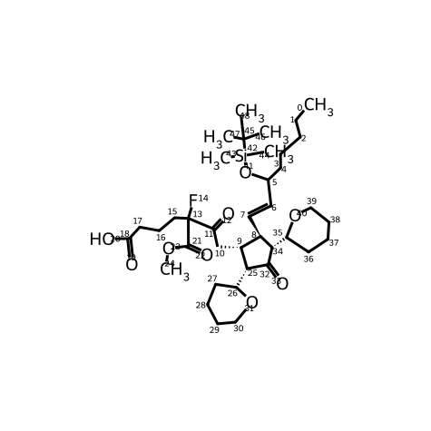 CCCCCC(/C=C/[C@@H]1[C@@H](CC(=O)C(F)(CCCC(=O)O)C(=O)OC)[C@@H](C2CCCCO2)C(=O)[C@H]1C1CCCCO1)O[Si](C)(C)C(C)(C)C